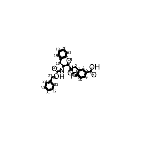 CN(Cc1cc(C(=O)O)ccc1F)C(=O)[C@H](Cc1ccccc1)NC(=O)OCc1ccccc1